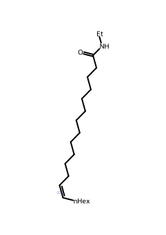 CCCCCC/C=C\CCCCCCCCCCCC(=O)NCC